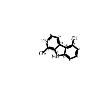 CCc1cccc2[nH]c3c(Cl)nccc3c12